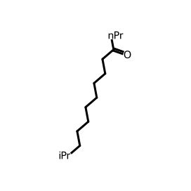 CCCC(=O)CCCCCCCCC(C)C